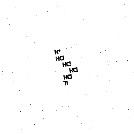 Cl.Cl.Cl.Cl.[H+].[Ti]